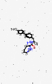 N#Cc1ccc(-c2ccc(C[C@@H](C#N)NC(=O)[C@@H]3CCCCN3)cc2)cc1